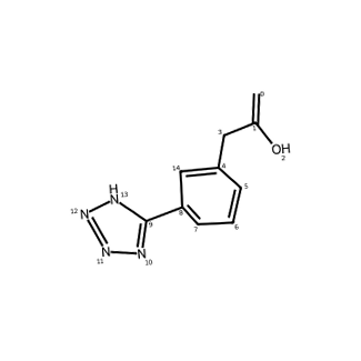 C=C(O)Cc1cccc(-c2nnn[nH]2)c1